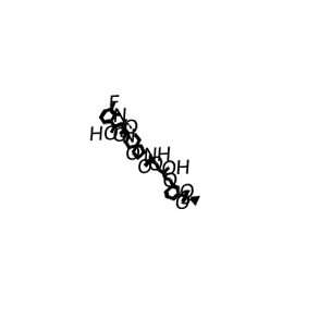 O=C(N[C@H]1COC2(CCN(S(=O)(=O)c3cnc4c(F)cccc4c3O)CC2)C1)OCC(O)COc1cccc(S(=O)(=O)C2CC2)c1